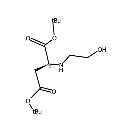 CC(C)(C)OC(=O)C[C@H](NCCO)C(=O)OC(C)(C)C